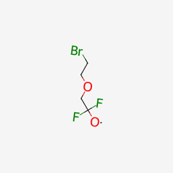 [O]C(F)(F)COCCBr